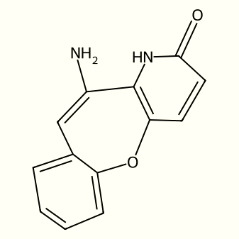 NC1=Cc2ccccc2Oc2ccc(=O)[nH]c21